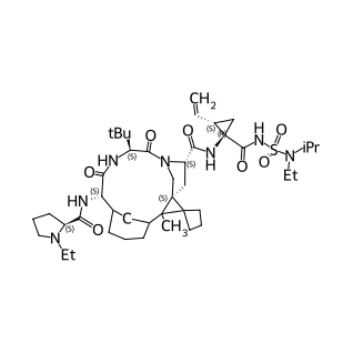 C=C[C@@H]1C[C@]1(NC(=O)[C@@H]1C[C@@]23CN1C(=O)[C@H](C(C)(C)C)NC(=O)[C@@H](NC(=O)[C@@H]1CCCN1CC)C1CCCC(C1)C2(C)C31CCC1)C(=O)NS(=O)(=O)N(CC)C(C)C